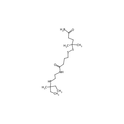 BC(=O)CCC(C)(C)SSCCCC(=O)NCCPC(C)(CC)CC